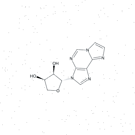 O[C@@H]1[C@H](O)CO[C@H]1n1cnc2c1ncn1ccnc21